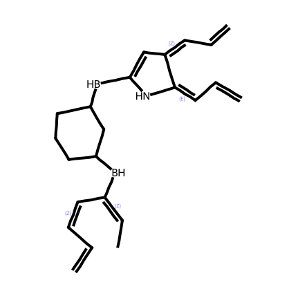 C=C/C=C\C(BC1CCCC(Bc2cc(=C/C=C)/c(=C\C=C)[nH]2)C1)=C/C